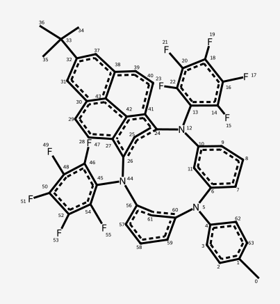 Cc1ccc(N2c3cccc(c3)N(c3c(F)c(F)c(F)c(F)c3F)c3cc(c4ccc5cc(C(C)(C)C)cc6ccc3c4c65)N(c3c(F)c(F)c(F)c(F)c3F)c3cccc2c3)cc1